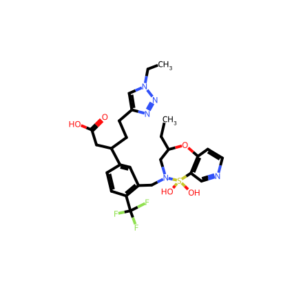 CCC1CN(Cc2cc(C(CCc3cn(CC)nn3)CC(=O)O)ccc2C(F)(F)F)S(O)(O)c2cnccc2O1